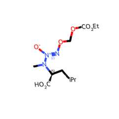 CCOC(=O)OCO/N=[N+](\[O-])N(C)[C@@H](CC(C)C)C(=O)O